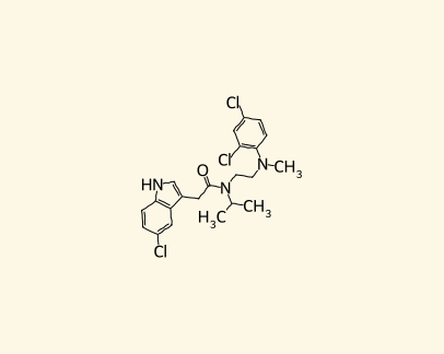 CC(C)N(CCN(C)c1ccc(Cl)cc1Cl)C(=O)Cc1c[nH]c2ccc(Cl)cc12